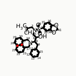 CC(C)CN(CC(O)C(Cc1ccccc1)N(Cc1ccccc1)Cc1ccccc1)S(=O)(=O)c1ccc2c(c1)OCO2